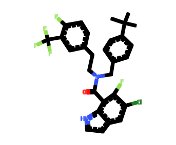 CC(C)(C)c1ccc(CN(CCc2ccc(F)c(C(F)(F)F)c2)C(=O)c2c(F)c(Cl)cc3cc[nH]c23)cc1